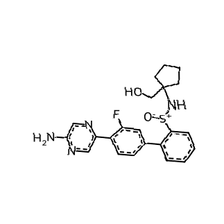 Nc1cnc(-c2ccc(-c3ccccc3[S+]([O-])NC3(CO)CCCC3)cc2F)cn1